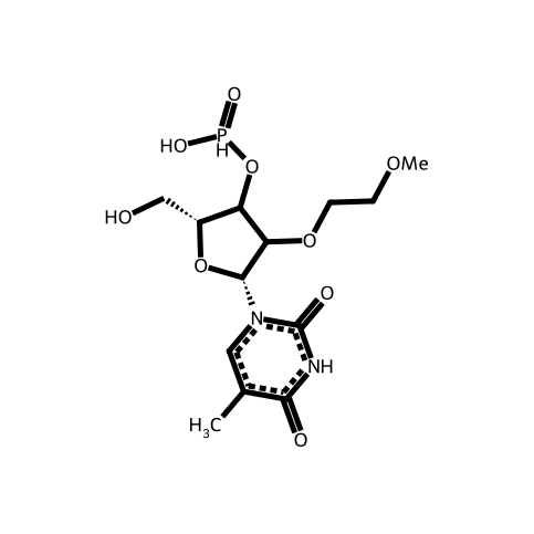 COCCOC1C(O[PH](=O)O)[C@@H](CO)O[C@H]1n1cc(C)c(=O)[nH]c1=O